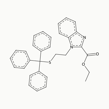 CCOC(=O)c1nc2ccccc2n1CCSC(c1ccccc1)(c1ccccc1)c1ccccc1